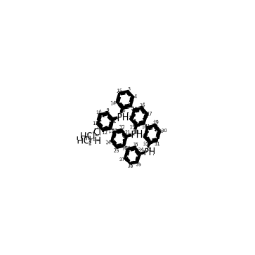 Cl.Cl.Cl.c1ccc(Pc2ccccc2)cc1.c1ccc(Pc2ccccc2)cc1.c1ccc(Pc2ccccc2)cc1